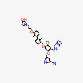 Cc1c(COc2cc(OCc3cncc(C#N)c3)c(CN(C)Cc3ccnn3C)cc2Cl)cccc1-c1cccc(OCCCN2CCC(O)C2)c1C